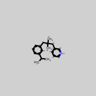 CC(C)c1cccc(CC(C)(C)Cc2cccnc2)c1